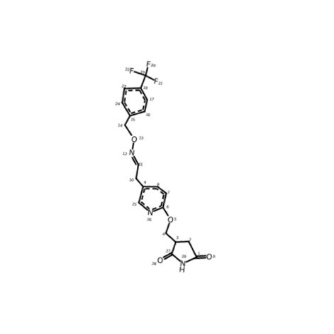 O=C1CC(COc2ccc(CC=NOCc3ccc(C(F)(F)F)cc3)cn2)C(=O)N1